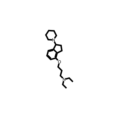 CCN(CC)CCCOc1cccc2c1CCC2N1CCCCC1